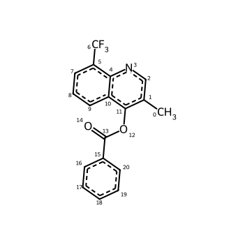 Cc1cnc2c(C(F)(F)F)cccc2c1OC(=O)c1ccccc1